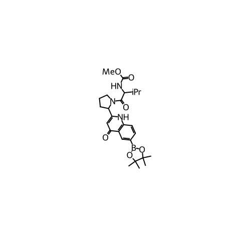 COC(=O)NC(C(=O)N1CCCC1c1cc(=O)c2cc(B3OC(C)(C)C(C)(C)O3)ccc2[nH]1)C(C)C